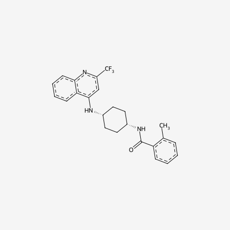 Cc1ccccc1C(=O)N[C@H]1CC[C@@H](Nc2cc(C(F)(F)F)nc3ccccc23)CC1